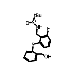 CC(C)(C)[S+]([O-])NCc1c(F)cccc1Sc1ccccc1CO